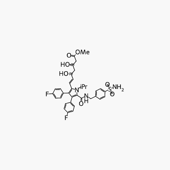 COC(=O)C[C@H](O)C[C@@H](O)C=Cc1c(-c2ccc(F)cc2)c(-c2ccc(F)cc2)c(C(=O)NCc2ccc(S(N)(=O)=O)cc2)n1C(C)C